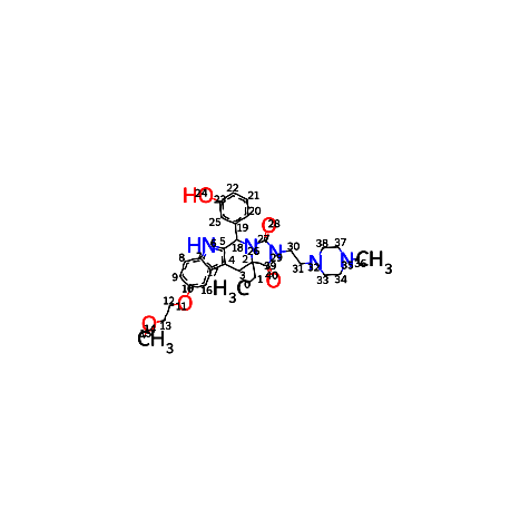 CCC12Cc3c([nH]c4ccc(OCCOC)cc34)C(c3cccc(O)c3)N1C(=O)N(CCN1CCN(C)CC1)C2=O